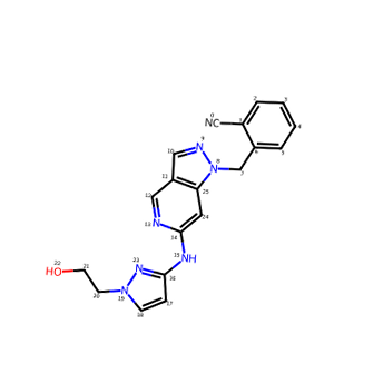 N#Cc1ccccc1Cn1ncc2cnc(Nc3ccn(CCO)n3)cc21